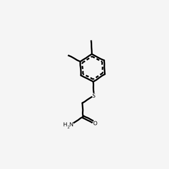 Cc1ccc(SCC(N)=O)cc1C